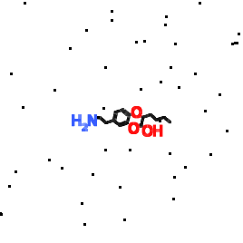 CCCCC(Oc1ccc(CCN)cc1)C(=O)O